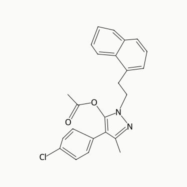 CC(=O)Oc1c(-c2ccc(Cl)cc2)c(C)nn1CCc1cccc2ccccc12